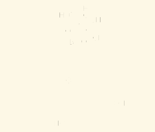 CC1(C)OB(c2cc3ccccc3c3c2C=CC(c2ccc(O)cc2)(c2ccc(O)cc2)O3)OC1(C)C